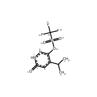 CC(C)c1cc(=O)[nH]nc1OS(=O)(=O)C(F)(F)F